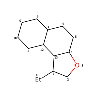 CCC1COC2CCC3CCCCC3C12